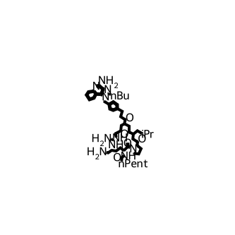 CCCCCC(=O)NC(CCCCN)C(=O)N1CCCC1C(=O)CC(CC(C)C)C(=O)CC(CCCNC(=N)N)C(=O)CCc1ccc(Cn2c(CCCC)nc3c(N)nc4ccccc4c32)cc1